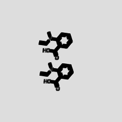 C=CN(C)c1ccccc1C(=O)O.C=CN(C)c1ccccc1C(=O)O